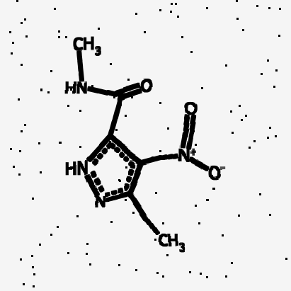 CNC(=O)c1[nH]nc(C)c1[N+](=O)[O-]